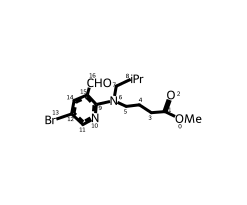 COC(=O)CCCN(CC(C)C)c1ncc(Br)cc1C=O